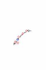 CC(C)(C)OC(=O)N1CC(OCCCOCCCO[C@H]2C[C@H](C)C2)C1